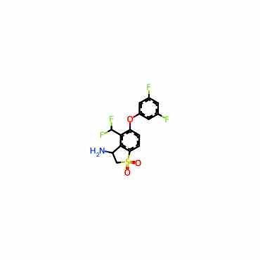 NC1CS(=O)(=O)c2ccc(Oc3cc(F)cc(F)c3)c(C(F)F)c21